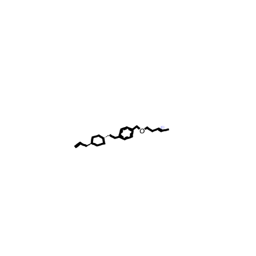 C=CC[C@H]1CC[C@H](CCc2ccc(COCC/C=C/C)cc2)CC1